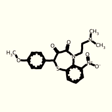 COc1ccc(C2Sc3cccc([N+](=O)[O-])c3N(CCN(C)C)C(=O)C2=O)cc1